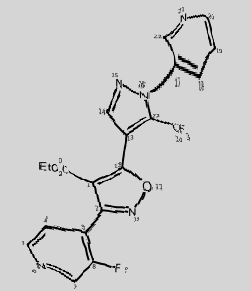 CCOC(=O)c1c(-c2ccncc2F)noc1-c1cnn(-c2cccnc2)c1C(F)(F)F